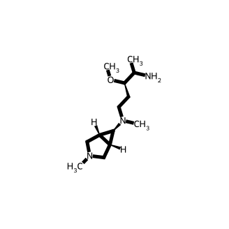 CO[C@H](CCN(C)[C@H]1[C@@H]2CN(C)C[C@@H]21)C(C)N